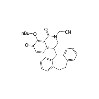 CCCCOc1c2n(ccc1=O)C(C1c3ccccc3CCc3ccccc31)CN(CC#N)C2=O